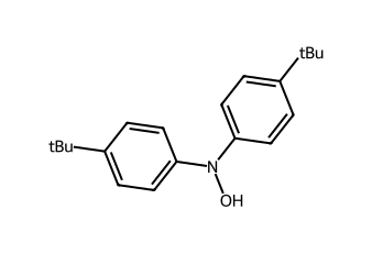 CC(C)(C)c1ccc(N(O)c2ccc(C(C)(C)C)cc2)cc1